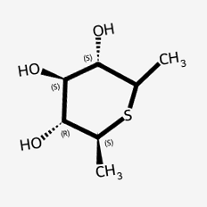 CC1S[C@@H](C)[C@H](O)[C@@H](O)[C@@H]1O